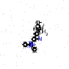 C[C@H]1C[C@@H]2C[C@H](C1)CC(C)(c1ccc(-c3ccc(-c4nc(-c5ccccc5)nc(-c5ccccc5)n4)cc3C#N)cc1)C2